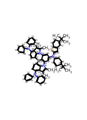 Cc1c(C)n2c3c(ccc(N(c4ccccc4)c4ccccc4)c13)B1c3c-2cc(N(c2ccc(C(C)(C)C)cc2)c2cc4cc(C(C)(C)C)ccc4s2)cc3-n2c(C)c(C)c3c(N(c4ccccc4)c4ccccc4)ccc1c32